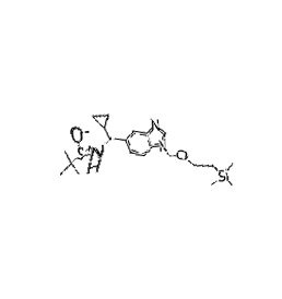 CC(C)(C)[S@+]([O-])N[C@@H](c1ccc2c(c1)ncn2COCC[Si](C)(C)C)C1CC1